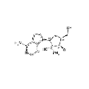 C[C@@]1(O)[C@H](O)[C@H](CO)S[C@@H]1n1ccc2c(N)ncnc21